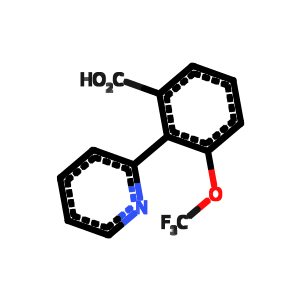 O=C(O)c1cccc(OC(F)(F)F)c1-c1ccccn1